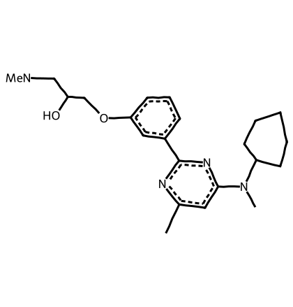 CNCC(O)COc1cccc(-c2nc(C)cc(N(C)C3CCCCC3)n2)c1